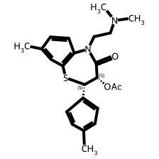 CC(=O)O[C@H]1C(=O)N(CCN(C)C)c2ccc(C)cc2S[C@H]1c1ccc(C)cc1